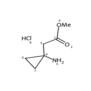 COC(=O)CC1(N)CC1.Cl